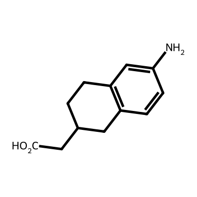 Nc1ccc2c(c1)CCC(CC(=O)O)C2